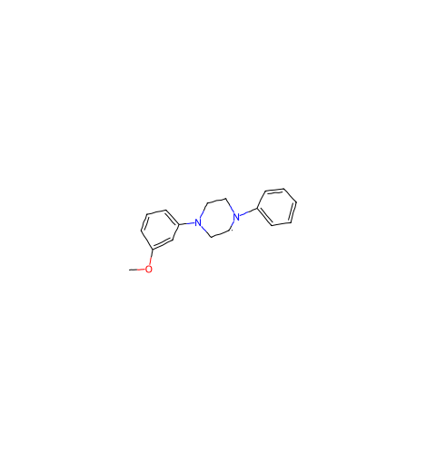 COc1cccc(N2C[CH]N(c3ccccc3)CC2)c1